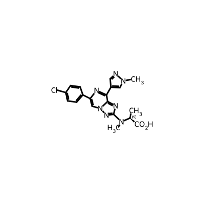 C[C@@H](C(=O)O)N(C)c1nc2c(-c3cnn(C)c3)nc(-c3ccc(Cl)cc3)cn2n1